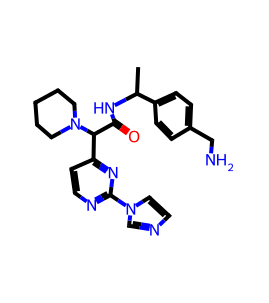 CC(NC(=O)C(c1ccnc(-n2ccnc2)n1)N1CCCCC1)c1ccc(CN)cc1